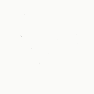 CCN(CNC(=O)C(N)CO)C(C)Cc1ccc2c(c1)OCO2